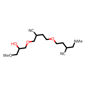 CNCC(C#N)CCOCCC(C#N)COCC(O)COC